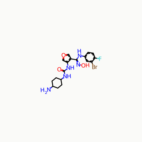 NC1CCC(NC(=O)Nc2cocc2/C(=N/O)Nc2ccc(F)c(Br)c2)CC1